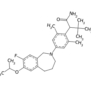 Cc1cc(N2CCCc3cc(OC(C)C)c(F)cc3C2)cc(C)c1C(C(N)=O)C(C)(C)C